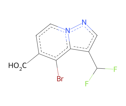 O=C(O)c1ccn2ncc(C(F)F)c2c1Br